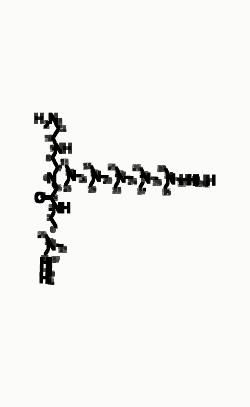 CCNC(=O)C=NCCNCCN.CN(C)C.CN(C)C.CN(C)C.CN(C)C.CN(C)C.CN(C)C.I.I.I.I.I.I